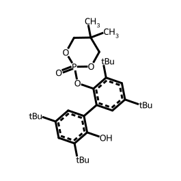 CC1(C)COP(=O)(Oc2c(-c3cc(C(C)(C)C)cc(C(C)(C)C)c3O)cc(C(C)(C)C)cc2C(C)(C)C)OC1